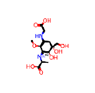 COC1=C(NCC(=O)O)C[C@@](O)(CO)[C@@H](O)/C1=N\C(C)C(=O)O